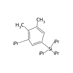 Cc1cc([Si](C(C)C)(C(C)C)C(C)C)cc(C(C)C)c1C